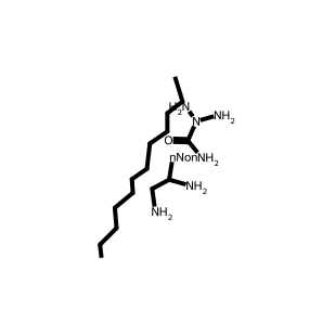 CCCCCCCCCC(N)CN.CCCCCCCCCCCC.NC(=O)N(N)N